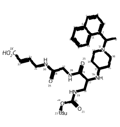 CC(c1cccc2ccccc12)N1CCC(NC(CNC(=O)OC(C)(C)C)C(=O)NCC(=O)NC/C=C/C(=O)O)CC1